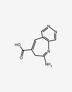 NC1=Nc2cnncc2C=C(C(=O)O)C1